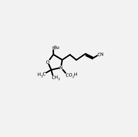 CC(C)(C)C1OC(C)(C)N(C(=O)O)C1CCC=CC#N